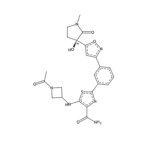 CC(=O)N1CC(Nc2sc(-c3cccc(-c4cc([C@]5(O)CCN(C)C5=O)on4)c3)nc2C(N)=O)C1